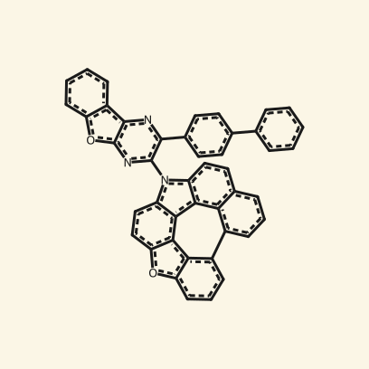 c1ccc(-c2ccc(-c3nc4c(nc3-n3c5ccc6cccc7c6c5c5c6c(ccc53)oc3cccc-7c36)oc3ccccc34)cc2)cc1